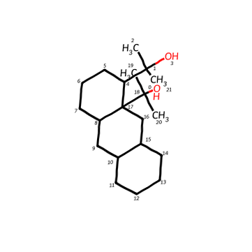 CC(C)(O)C1CCCC2CC3CCCCC3CC21C(C)(C)O